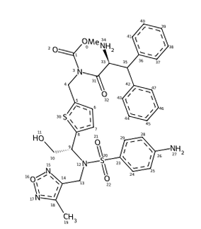 COC(=O)N(Cc1ccc([C@@H](CO)N(Cc2nonc2C)S(=O)(=O)c2ccc(N)cc2)s1)C(=O)[C@@H](N)C(c1ccccc1)c1ccccc1